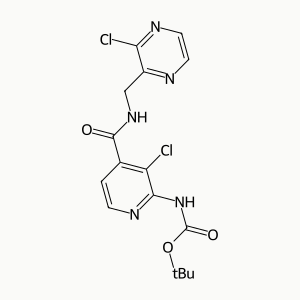 CC(C)(C)OC(=O)Nc1nccc(C(=O)NCc2nccnc2Cl)c1Cl